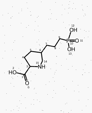 O=C(O)C1CCC(CCCP(=O)(O)O)CN1